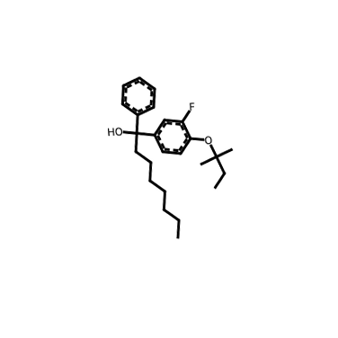 CCCCCCCC(O)(c1ccccc1)c1ccc(OC(C)(C)CC)c(F)c1